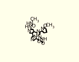 CCNC(=O)Nc1cc(-c2nc(-c3cccc(OC)n3)cs2)c(-c2cncc(-c3n[nH]c(=O)o3)n2)cn1